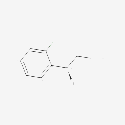 CCOC(=O)C[C@H](c1ccccc1Cl)C(C)C